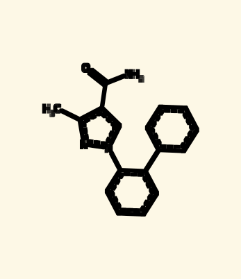 Cc1nn(-c2ccccc2-c2ccccc2)cc1C(N)=O